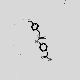 O=C(O)Cc1ccc(NC(=O)OCc2ccc(Cl)cc2)cc1